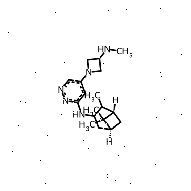 CNC1CN(c2cnnc(NC3C[C@@H]4C[C@@H](C3C)C4(C)C)c2)C1